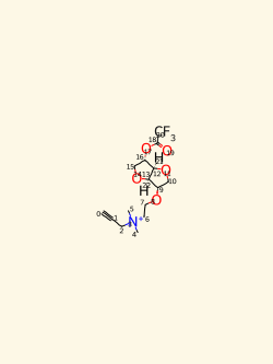 C#CC[N+](C)(C)CCO[C@@H]1CO[C@H]2[C@@H]1OC[C@@H]2OC(=O)C(F)(F)F